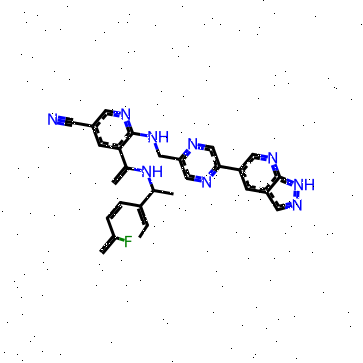 C=C(F)/C=C\C(=C/C)C(C)NC(=C)c1cc(C#N)cnc1NCc1cnc(-c2cnc3[nH]ncc3c2)cn1